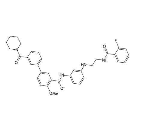 COc1ccc(-c2cccc(C(=O)N3CCCCC3)c2)cc1[S+]([O-])Nc1cccc(NCCNC(=O)c2ccccc2F)c1